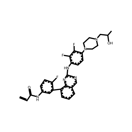 C=CC(=O)Nc1ccc(F)c(-c2cccc3cnc(Nc4ccc(N5CCN(CC(C)O)CC5)c(F)c4F)nc23)c1